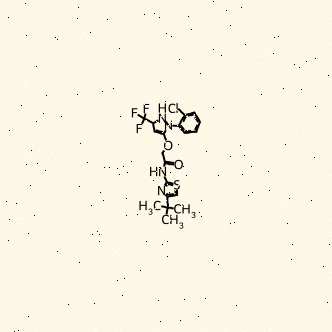 CC(C)(C)c1csc(NC(=O)COC2=CC(C(F)(F)F)NN2c2ccccc2Cl)n1